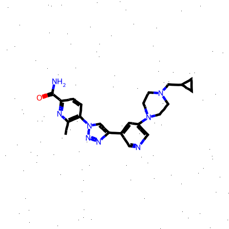 Cc1nc(C(N)=O)[c]cc1-n1cc(-c2cncc(N3CCN(CC4CC4)CC3)c2)nn1